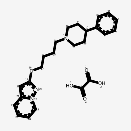 O=C(O)C(=O)O.c1ccc(C2CCN(CCCCOc3cc4ccccn4n3)CC2)cc1